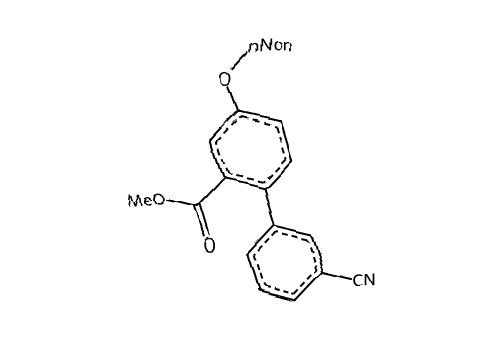 CCCCCCCCCOc1ccc(-c2cccc(C#N)c2)c(C(=O)OC)c1